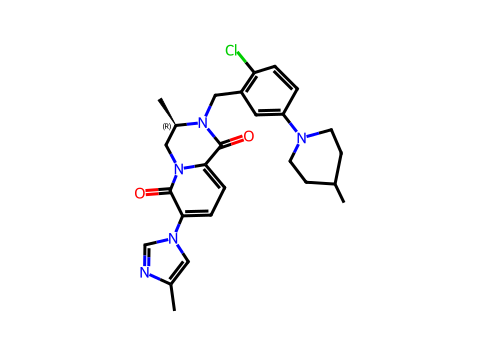 Cc1cn(-c2ccc3n(c2=O)C[C@@H](C)N(Cc2cc(N4CCC(C)CC4)ccc2Cl)C3=O)cn1